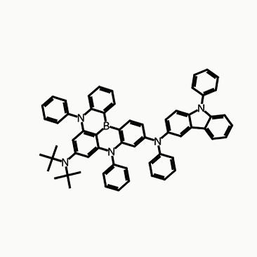 CC(C)(C)N(c1cc2c3c(c1)N(c1ccccc1)c1cc(N(c4ccccc4)c4ccc5c(c4)c4ccccc4n5-c4ccccc4)ccc1B3c1ccccc1N2c1ccccc1)C(C)(C)C